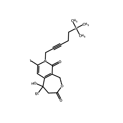 CCC1(O)CC(=O)OCc2c1cc(I)n(CC#CCC[Si](C)(C)C)c2=O